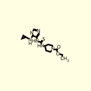 CCOC(=O)N1CCC(NC(=S)Nc2cncnc2NC2CC2)CC1